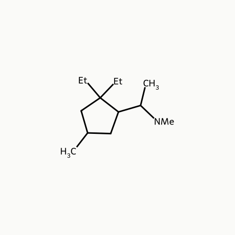 CCC1(CC)CC(C)CC1C(C)NC